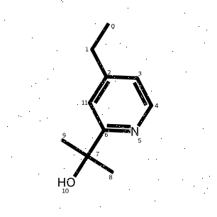 CCc1ccnc(C(C)(C)O)c1